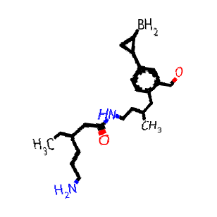 BC1CC1c1ccc(CC(C)CCNC(=O)CC(CC)CCCN)c(C=O)c1